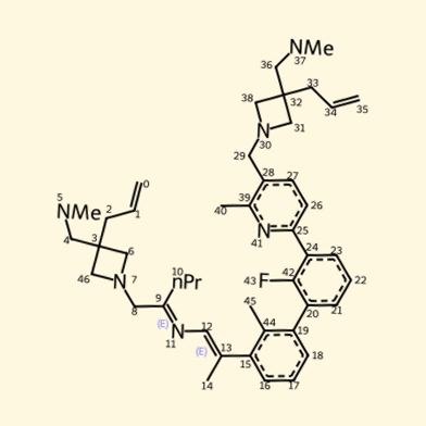 C=CCC1(CNC)CN(C/C(CCC)=N/C=C(\C)c2cccc(-c3cccc(-c4ccc(CN5CC(CC=C)(CNC)C5)c(C)n4)c3F)c2C)C1